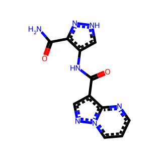 NC(=O)c1n[nH]cc1NC(=O)c1cnn2cccnc12